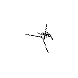 CCCCCCCCC1=C(c2ccc(CCCC)cc2)[N+](=[N-])C(c2ccc(CCCC)cc2)=C1C.CCCCCCCCCCCCCCC[CH2][Pd][CH2]CCCCCCCCCCCCCCC